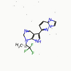 C[C@H](N1CN=Cc2c(-c3ccc4nccn4n3)c[nH]c21)C(F)(F)F